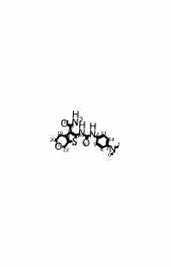 CN(C)c1ccc(NC(=O)Nc2sc3c(c2C(N)=O)CCOC3)cc1